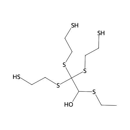 CCSC(O)C(SCCS)(SCCS)SCCS